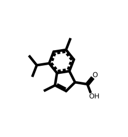 CC1=CC(C(=O)O)c2cc(C)cc(C(C)C)c21